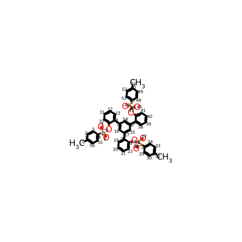 Cc1ccc(S(=O)(=O)Oc2ccccc2-c2cc(-c3ccccc3OS(=O)(=O)c3ccc(C)cc3)cc(-c3ccccc3OS(=O)(=O)c3ccc(C)cc3)c2)cc1